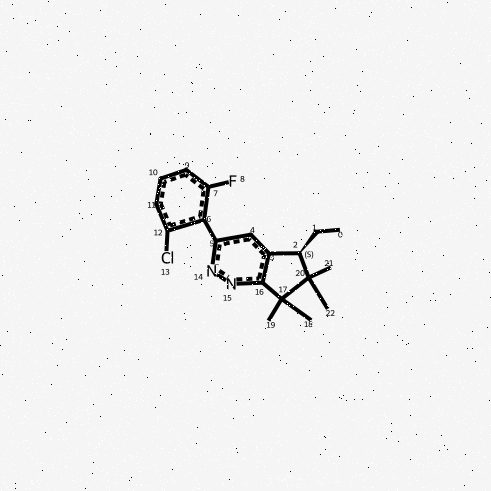 CC[C@@H]1c2cc(-c3c(F)cccc3Cl)nnc2C(C)(C)C1(C)C